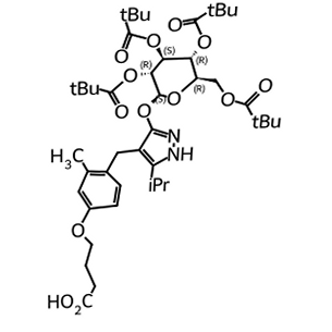 Cc1cc(OCCCC(=O)O)ccc1Cc1c(O[C@@H]2O[C@H](COC(=O)C(C)(C)C)[C@@H](OC(=O)C(C)(C)C)[C@H](OC(=O)C(C)(C)C)[C@H]2OC(=O)C(C)(C)C)n[nH]c1C(C)C